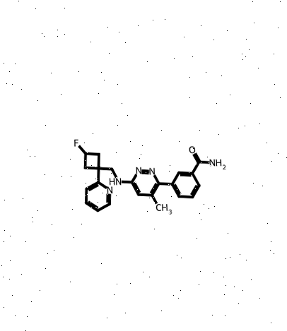 Cc1cc(NCC2(c3ccccn3)CC(F)C2)nnc1-c1cccc(C(N)=O)c1